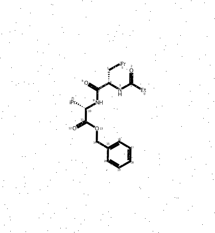 CCC(=O)N[C@@H](CC(C)C)C(=O)N[C@H](C(=O)OCc1ccccc1)C(C)C